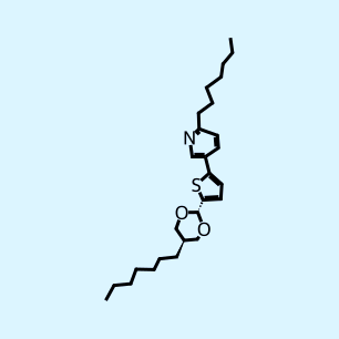 CCCCCCCc1ccc(-c2ccc([C@H]3OC[C@H](CCCCCCC)CO3)s2)cn1